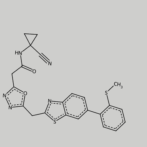 CSc1ccccc1-c1ccc2nc(Cc3nnc(CC(=O)NC4(C#N)CC4)o3)sc2c1